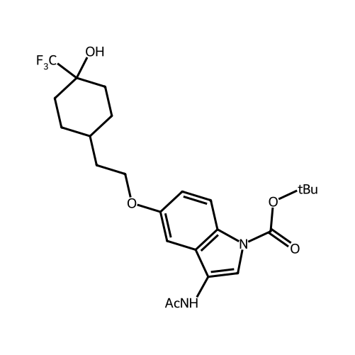 CC(=O)Nc1cn(C(=O)OC(C)(C)C)c2ccc(OCCC3CCC(O)(C(F)(F)F)CC3)cc12